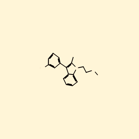 CCOCCn1c(C)c(-c2cccc(C=O)c2)c2ccccc21